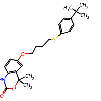 CC(C)(C)c1ccc(SCCCCOc2ccc3c(c2)C(C)(C)OC(=O)N3)cc1